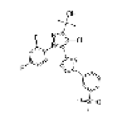 CC(C)(O)c1nn(-c2ccc(F)cc2F)c(-c2ccc(-c3cccc(S(C)(=O)=O)c3)s2)c1Cl